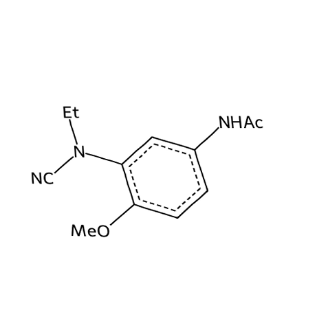 CCN(C#N)c1cc(NC(C)=O)ccc1OC